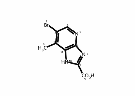 Cc1c(Br)cnc2nc(C(=O)O)[nH]c12